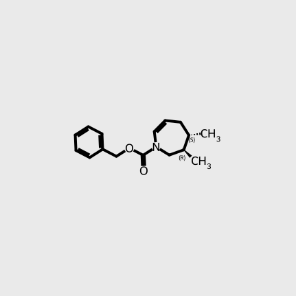 C[C@H]1CC=CN(C(=O)OCc2ccccc2)C[C@@H]1C